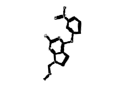 COCn1ccc2c(Oc3cccc([N+](=O)[O-])c3)nc(Cl)nc21